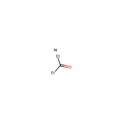 CCC(=O)CC.[Ni]